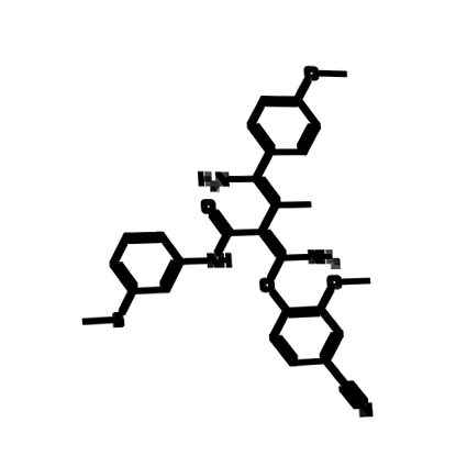 COc1ccc(/C(N)=C(C)/C(C(=O)Nc2cccc(SC)c2)=C(\N)Oc2ccc(C#N)cc2OC)cc1